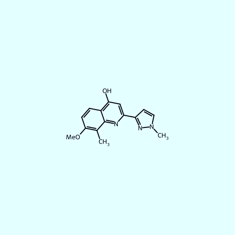 COc1ccc2c(O)cc(-c3ccn(C)n3)nc2c1C